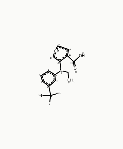 CCN(c1cccc(C(F)(F)F)c1)c1ccccc1C(=O)O